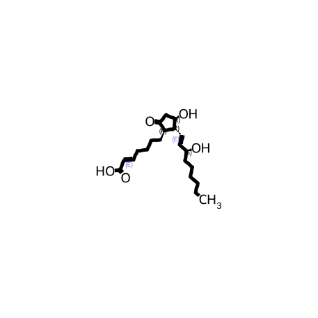 CCCCCC[C@H](O)/C=C/[C@H]1[C@H](O)CC(=O)[C@@H]1CCCC/C=C/C(=O)O